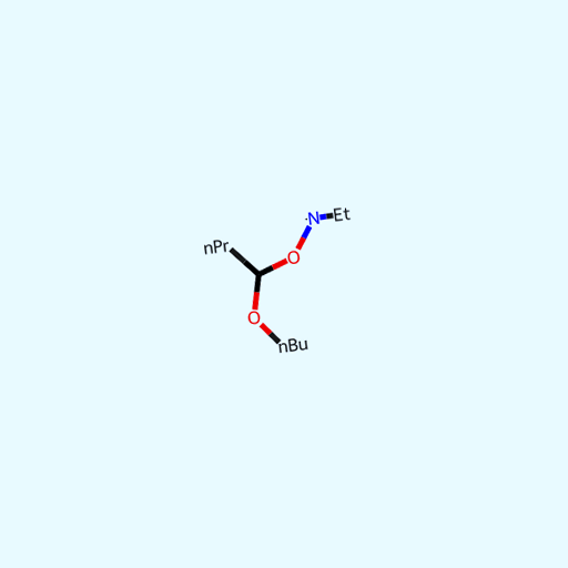 CCCCOC(CCC)O[N]CC